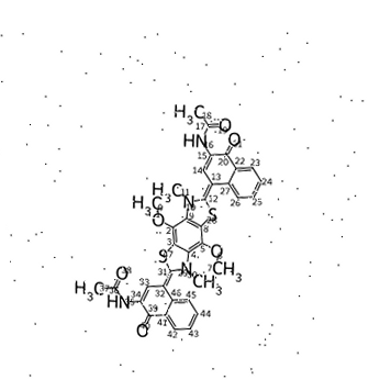 COc1c2c(c(OC)c3c1N(C)/C(=C1\C=C(NC(C)=O)C(=O)c4ccccc41)S3)N(C)/C(=C1/C=C(NC(C)=O)C(=O)c3ccccc31)S2